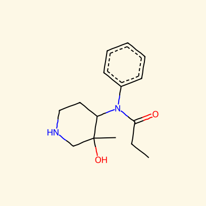 CCC(=O)N(c1ccccc1)C1CCNCC1(C)O